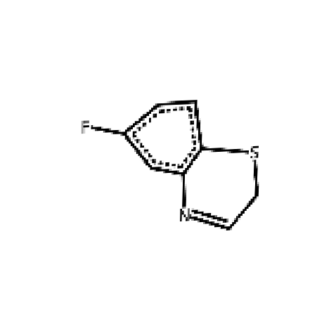 Fc1ccc2c(c1)N=CCS2